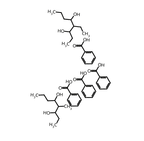 CCCC(O)C(C)C(O)CC.CCCC(O)C(CC)C(O)CC.O=C(O)c1ccccc1.O=C(O)c1ccccc1.O=C(O)c1ccccc1.O=C(O)c1ccccc1